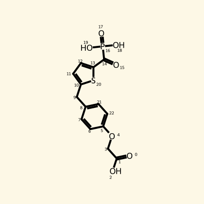 O=C(O)COc1ccc(Cc2ccc(C(=O)P(=O)(O)O)s2)cc1